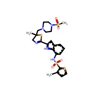 Cc1ccsc1S(=O)(=O)Nc1cccc2cc(C3=NCC(C)(CN4CCN(S(C)(=O)=O)CC4)S3)[nH]c12